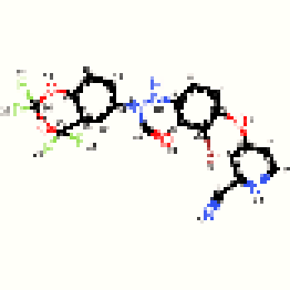 N#Cc1cc(Oc2ccc(NN(C=O)c3ccc4c(c3)C(F)(F)OC(F)(F)O4)cc2Br)ccn1